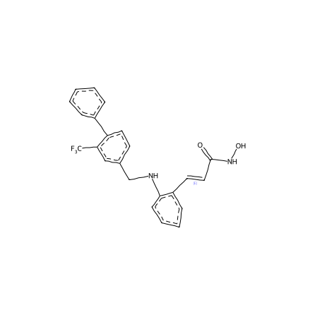 O=C(/C=C/c1ccccc1NCc1ccc(-c2ccccc2)c(C(F)(F)F)c1)NO